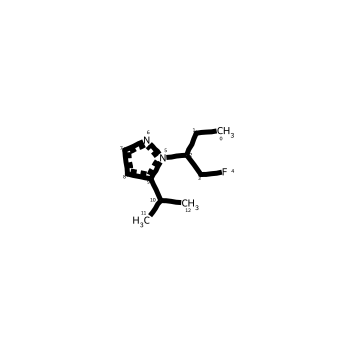 CCC(CF)n1nccc1C(C)C